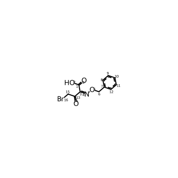 O=C(O)C(=NOCc1ccccc1)C(=O)CBr